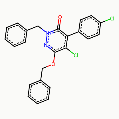 O=c1c(-c2ccc(Cl)cc2)c(Cl)c(OCc2ccccc2)nn1Cc1ccccc1